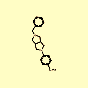 COc1ccc(N2CC3CN(Cc4ccccc4)CC3C2)cc1